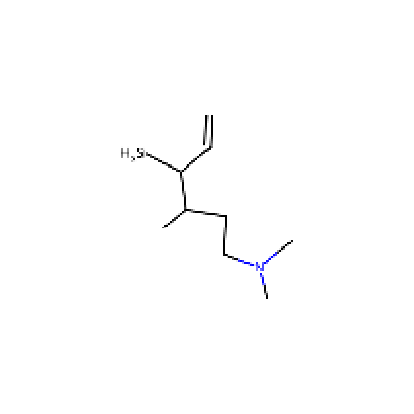 C=CC([SiH3])C(C)CCN(C)C